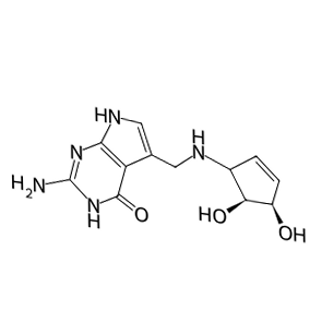 Nc1nc2[nH]cc(CNC3C=C[C@@H](O)[C@H]3O)c2c(=O)[nH]1